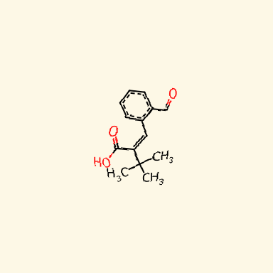 CC(C)(C)C(=Cc1ccccc1C=O)C(=O)O